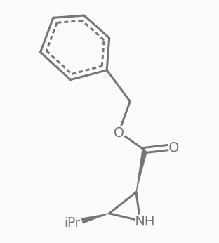 CC(C)[C@@H]1N[C@@H]1C(=O)OCc1ccccc1